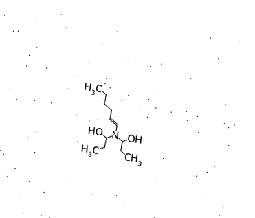 CCCCC=CN(C(O)CC)C(O)CC